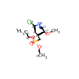 CCOP(=O)(Cc1cc(Cl)ncc1OC)OCC